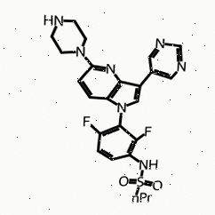 CCCS(=O)(=O)Nc1ccc(F)c(-n2cc(-c3cncnc3)c3nc(N4CCNCC4)ccc32)c1F